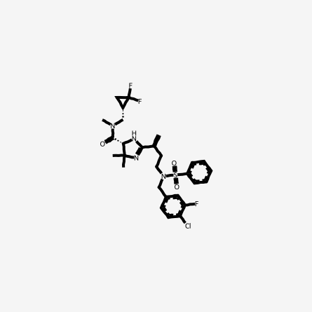 C=C(CCN(Cc1ccc(Cl)c(F)c1)S(=O)(=O)c1ccccc1)C1=NC(C)(C)[C@H](C(=O)N(C)C[C@@H]2CC2(F)F)N1